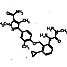 Cc1cc(-c2nn(C)c(C(N)=O)c2C)ccc1OCc1c(C2CC2)cccc1N(N)C(=O)N(C)N